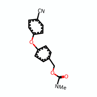 CNC(=O)OCc1ccc(Oc2ccc(C#N)cc2)cc1